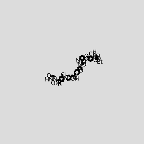 CCN(C)S(=O)(=O)Nc1ccc(F)c(Oc2ccc3ncn([C@H]4COC5(CCN(C(=O)CC6(O)CCN(c7cc8c(cc7Cl)c(N7CCC(=O)NC7=O)nn8C)CC6)CC5)C4)c(=O)c3c2)c1C#N